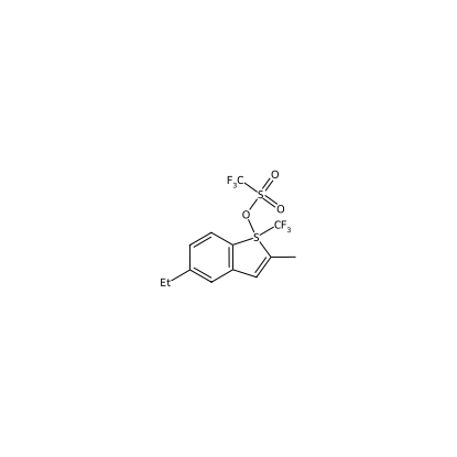 CCc1ccc2c(c1)C=C(C)S2(OS(=O)(=O)C(F)(F)F)C(F)(F)F